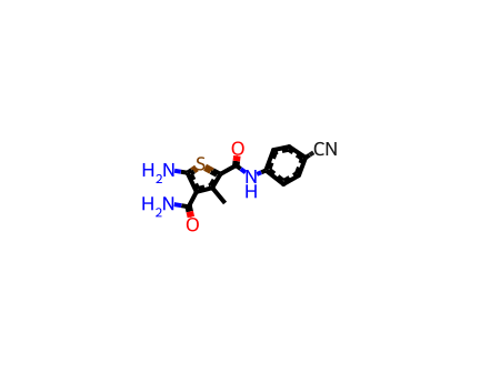 Cc1c(C(=O)Nc2ccc(C#N)cc2)sc(N)c1C(N)=O